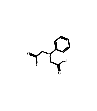 O=C(Cl)CN(CC(=O)Cl)c1ccccc1